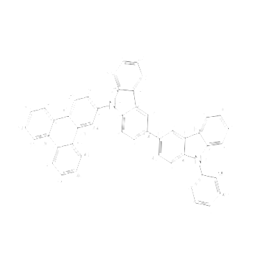 c1ccc(-n2c3ccccc3c3cc(-c4ccc5c(c4)c4ccccc4n5-c4ccc5c6ccccc6c6ccccc6c5c4)ccc32)cc1